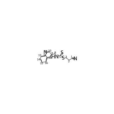 N#CCCSC(=S)NCc1cnc2ccccc2c1